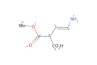 CC(C)(C)OC(=O)C(C=CN)C(=O)O